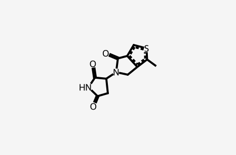 Cc1scc2c1CN(C1CC(=O)NC1=O)C2=O